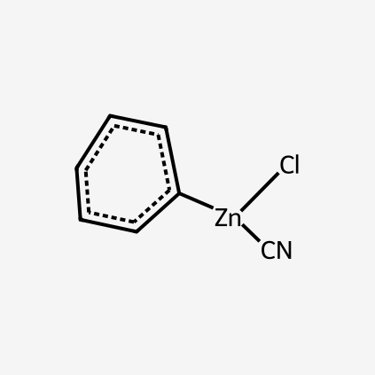 N#[C][Zn]([Cl])[c]1ccccc1